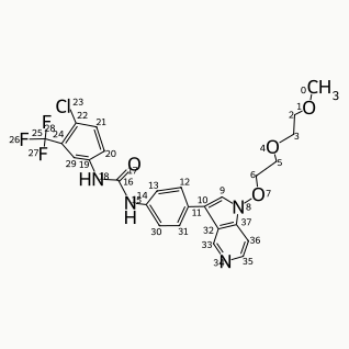 COCCOCCOn1cc(-c2ccc(NC(=O)Nc3ccc(Cl)c(C(F)(F)F)c3)cc2)c2cnccc21